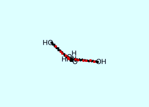 O=C(/C=C/CCCCCCCCCCCCCCO)N[C@@H]1CC[C@H](NC(=O)/C=C/CCCCCCCCCCCCCCO)C1